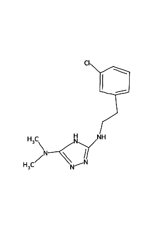 CN(C)c1nnc(NCCc2cccc(Cl)c2)[nH]1